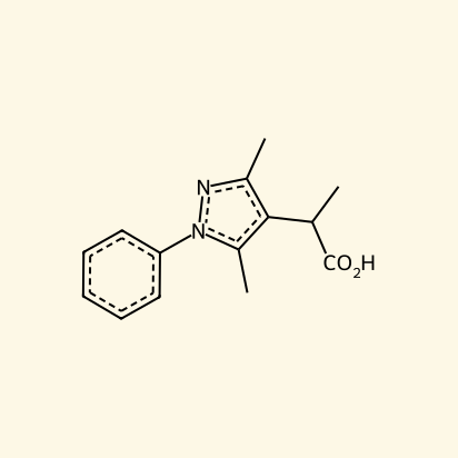 Cc1nn(-c2ccccc2)c(C)c1C(C)C(=O)O